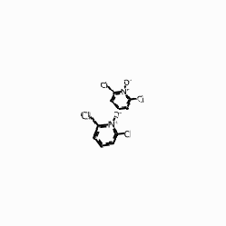 [O-][n+]1c(Cl)cccc1Cl.[O-][n+]1c(Cl)cccc1Cl